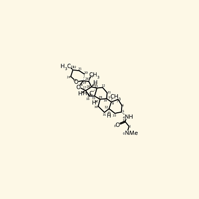 CNCC(=O)N[C@H]1CC[C@]2(C)C3CC[C@@]4(C)C(C[C@@H]5O[C@]6(CC[C@H](C)CO6)[C@@H](C)[C@@H]54)[C@@H]3CC[C@@H]2C1